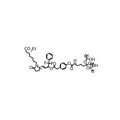 CCOC(=O)CCCCCCN1C(=O)CC[C@@H]1/C=C/[C@@H](OC(=O)Cc1ccc(OC(=O)NCCCC(O)(O[PH](=O)O)O[PH](=O)O)cc1)C(F)(F)c1ccccc1